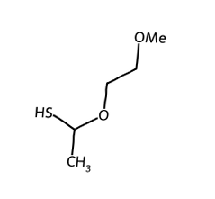 COCCOC(C)S